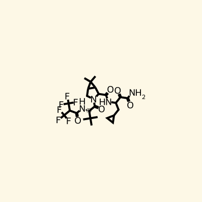 CC1(C)C2CN(C(=O)[C@@H](NC(=O)C(C(F)(F)F)C(F)(F)F)C(C)(C)C)C(C(=O)NC(CC3CC3)C(=O)C(N)=O)C21